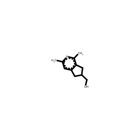 Cc1cc2c(c(C)n1)CC(CO)C2